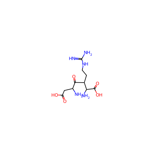 N=C(N)NCCC(C(=O)C(N)CC(=O)O)C(N)C(=O)O